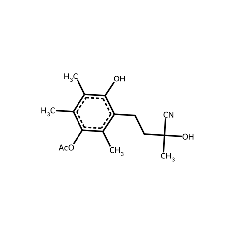 CC(=O)Oc1c(C)c(C)c(O)c(CCC(C)(O)C#N)c1C